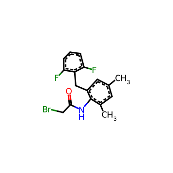 Cc1cc(C)c(NC(=O)CBr)c(Cc2c(F)cccc2F)c1